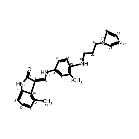 Cc1cc(NC=C2C(=O)Nc3cccc(C)c32)ccc1NCCCn1ccnc1